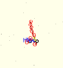 CN(Cc1c(C=O)cccc1SCCOCCOCCOCCOCC=O)C1CCC(=O)NC1=O